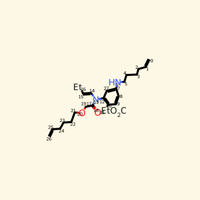 C=CCCCCNc1ccc(C(=O)OCC)c(N(C=CCC)C(=O)COCCCCC=C)c1